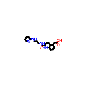 O=C(O)CC1C=CC=C2NC(C(=O)NCCCNc3ccccn3)CCC21